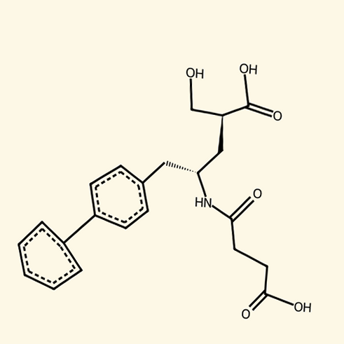 O=C(O)CCC(=O)N[C@H](Cc1ccc(-c2ccccc2)cc1)C[C@@H](CO)C(=O)O